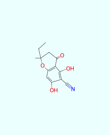 CCC1(C)CC(=O)c2c(cc(O)c(C#N)c2O)O1